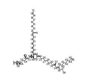 C=C(CCCCCCCCCC)CCCCCCCCCC1CC(CCCCCCCCC(=C)CC(CCC)CCCCCCCC)CCN1CCC(=S)CCCNC